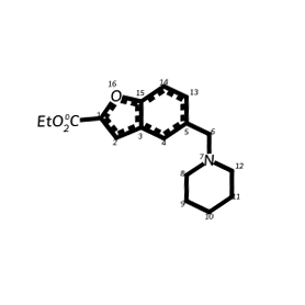 CCOC(=O)c1cc2cc(CN3CCCCC3)ccc2o1